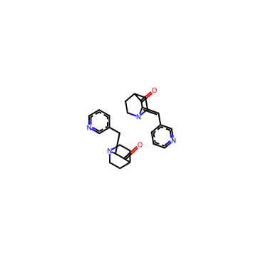 O=C1C(=Cc2cccnc2)N2CCC1CC2.O=C1C2CCN(CC2)C1Cc1cccnc1